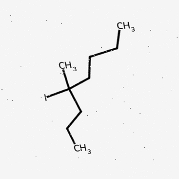 CCCCC(C)(I)CCC